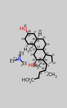 CCN(CC)CC.C[C@H](CCC(=O)O)[C@H]1CCC2C3CC[C@@H]4C[C@H](O)CC[C@]4(C)C3C[C@H](O)[C@@]21C